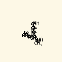 CC1=NNC(Nc2cc(N3CCN(c4ncc(C(=O)NO)cn4)CC3)nc(Sc3ccc(NC(=O)C4CC4)cc3)n2)C1